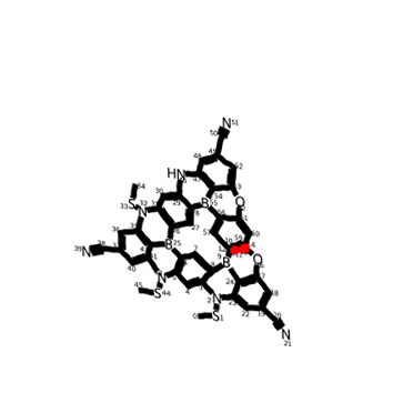 CSN1c2cc3c(cc2B2c4ccccc4Oc4cc(C#N)cc1c42)B1c2cc4c(cc2N(SC)c2cc(C#N)cc(c21)N3SC)Nc1cc(C#N)cc2c1B4c1ccccc1O2